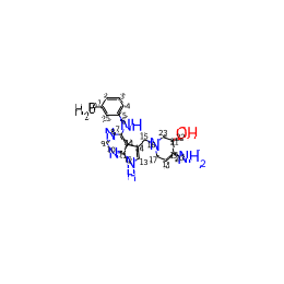 Bc1cccc(Nc2ncnc3[nH]cc(CN4CCC(N)C(O)C4)c23)c1